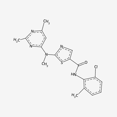 Cc1cc(N(C)c2ncc(C(=O)Nc3c(C)cccc3Cl)s2)nc(C)n1